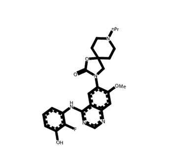 CCCN1CCC2(CC1)CN(c1cc3c(Nc4cccc(O)c4F)ncnc3cc1OC)C(=O)O2